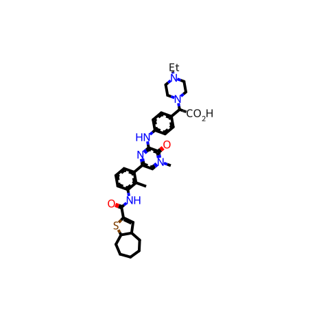 CCN1CCN(C(C(=O)O)c2ccc(Nc3nc(-c4cccc(NC(=O)C5=CC6CCCCCC6S5)c4C)cn(C)c3=O)cc2)CC1